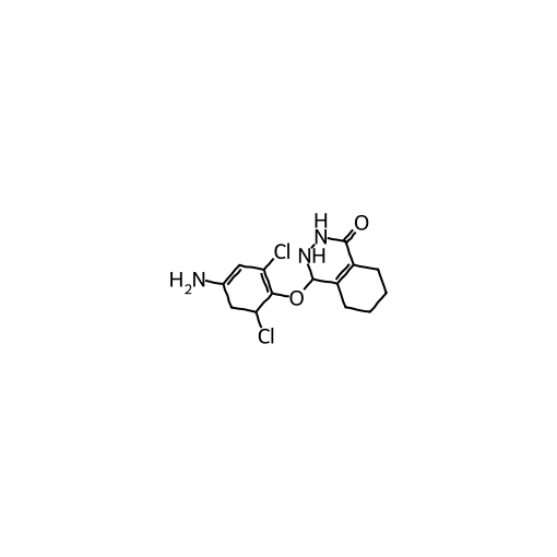 NC1=CC(Cl)=C(OC2NNC(=O)C3=C2CCCC3)C(Cl)C1